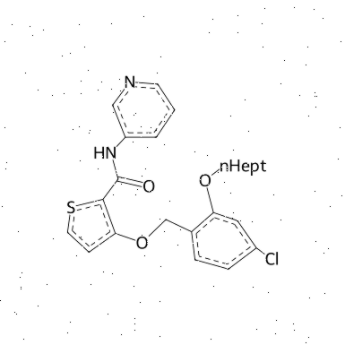 CCCCCCCOc1cc(Cl)ccc1COc1ccsc1C(=O)Nc1cccnc1